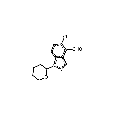 O=Cc1c(Cl)ccc2c1cnn2C1CCCCO1